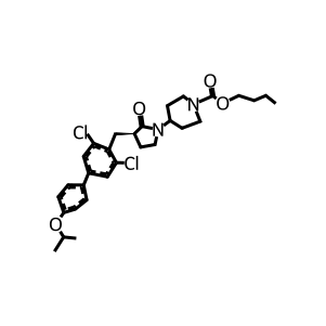 CCCCOC(=O)N1CCC(N2CC[C@@H](Cc3c(Cl)cc(-c4ccc(OC(C)C)cc4)cc3Cl)C2=O)CC1